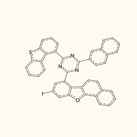 Ic1cc(-c2nc(-c3ccc4ccccc4c3)nc(-c3cccc4sc5ccccc5c34)n2)c2c(c1)oc1c3ccccc3ccc12